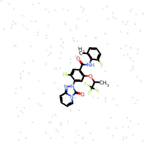 Cc1cccc(F)c1NC(=O)c1cc(F)c(-n2nc3ccccn3c2=O)cc1OC(C)C(F)(F)F